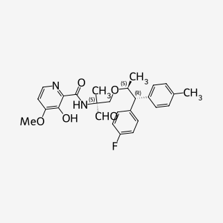 COc1ccnc(C(=O)N[C@](C)(C=O)CO[C@@H](C)[C@H](c2ccc(C)cc2)c2ccc(F)cc2)c1O